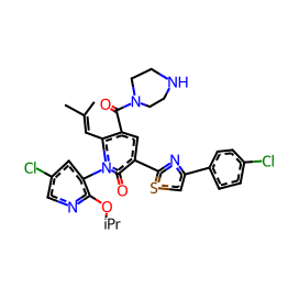 CC(C)=Cc1c(C(=O)N2CCNCC2)cc(-c2nc(-c3ccc(Cl)cc3)cs2)c(=O)n1-c1cc(Cl)cnc1OC(C)C